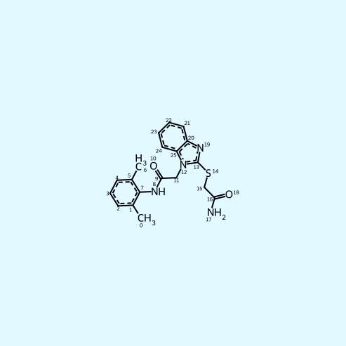 Cc1cccc(C)c1NC(=O)Cn1c(SCC(N)=O)nc2ccccc21